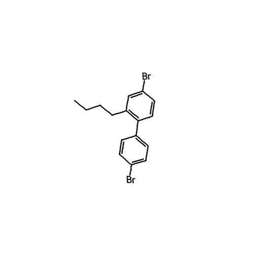 CCCCc1cc(Br)ccc1-c1ccc(Br)cc1